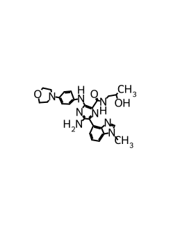 CC(O)CNC(=O)c1nc(-c2cccc3c2ncn3C)c(N)nc1Nc1ccc(N2CCOCC2)cc1